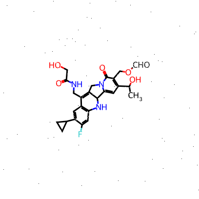 CC(O)c1cc2n(c(=O)c1COC=O)CC1=C(CNC(=O)CO)c3cc(C4CC4)c(F)cc3NC12